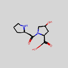 O=C(O)C1CC(O)CN1C(=O)C1CCCN1